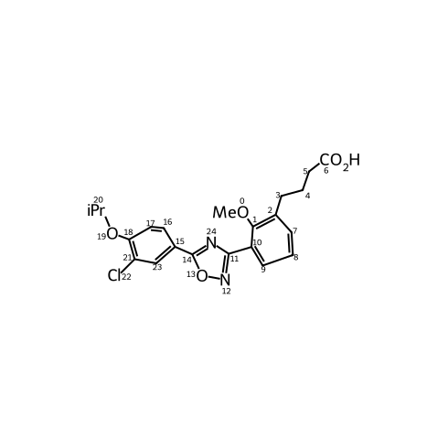 COc1c(CCCC(=O)O)cccc1-c1noc(-c2ccc(OC(C)C)c(Cl)c2)n1